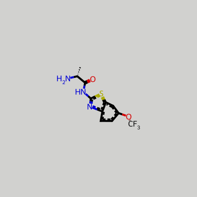 C[C@@H](N)C(=O)Nc1nc2ccc(OC(F)(F)F)cc2s1